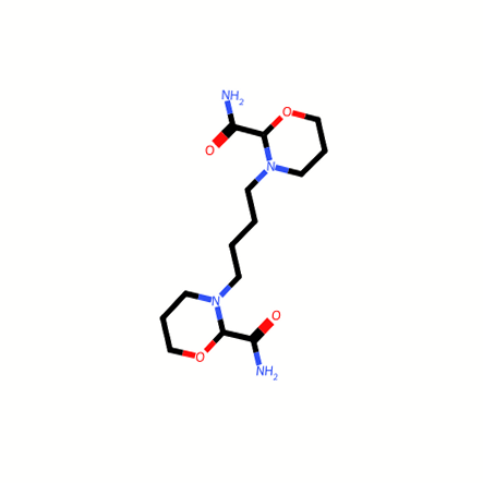 NC(=O)C1OCCCN1CCCCN1CCCOC1C(N)=O